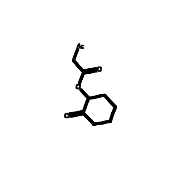 CC(=O)CC(=O)OC1CCCCC1=O